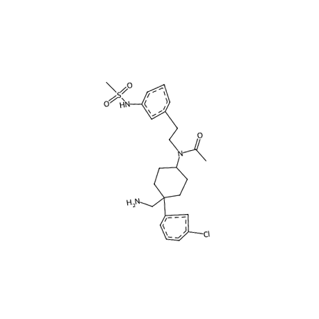 CC(=O)N(CCc1cccc(NS(C)(=O)=O)c1)C1CCC(CN)(c2cccc(Cl)c2)CC1